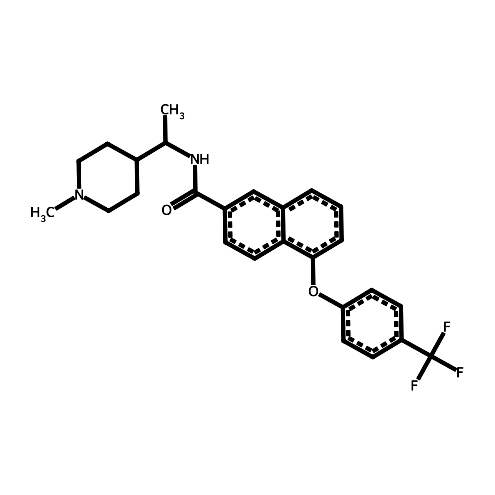 CC(NC(=O)c1ccc2c(Oc3ccc(C(F)(F)F)cc3)cccc2c1)C1CCN(C)CC1